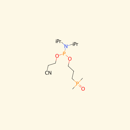 CC(C)N(C(C)C)P(OCCC#N)OCCCP(C)(C)=O